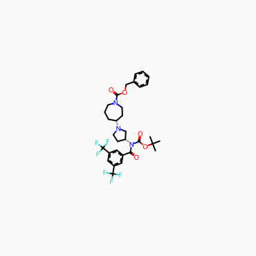 CC(C)(C)OC(=O)N(C(=O)c1cc(C(F)(F)F)cc(C(F)(F)F)c1)[C@@H]1CCN([C@@H]2CCCN(C(=O)OCc3ccccc3)CC2)C1